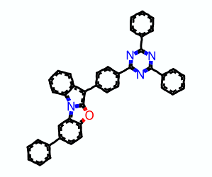 c1ccc(-c2ccc3oc4c(-c5ccc(-c6nc(-c7ccccc7)nc(-c7ccccc7)n6)cc5)c5ccccc5n4c3c2)cc1